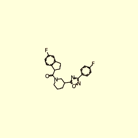 O=C(C1CCc2cc(F)ccc21)N1CCCC(c2nc(-c3ccc(F)cc3)no2)C1